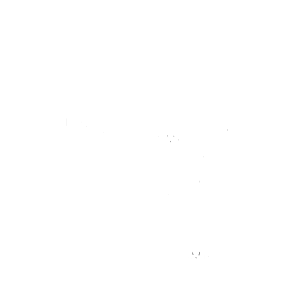 CSc1ccccc1[O][Co][O]c1ccccc1SC.O.O